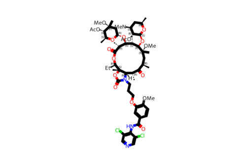 CC[C@H]1OC(=O)[C@H](C)[C@@H](O[C@H]2C[C@@](C)(OC)[C@@H](OC(C)=O)[C@H](C)O2)[C@H](C)[C@@H](O[C@@H]2O[C@H](C)C[C@H](NC)[C@H]2OC(C)=O)[C@](C)(OC)C[C@@H](C)C(=O)[C@H](C)[C@H]2N(CCCOc3cc(C(=O)Nc4c(Cl)cncc4Cl)ccc3OC)C(=O)O[C@]12C